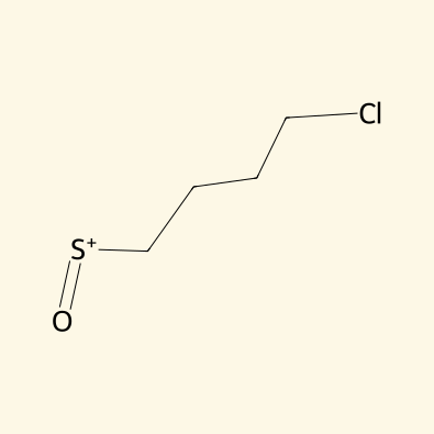 O=[S+]CCCCCl